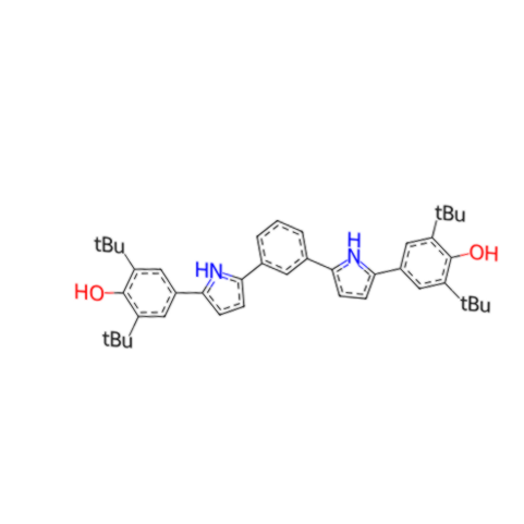 CC(C)(C)c1cc(-c2ccc(-c3cccc(-c4ccc(-c5cc(C(C)(C)C)c(O)c(C(C)(C)C)c5)[nH]4)c3)[nH]2)cc(C(C)(C)C)c1O